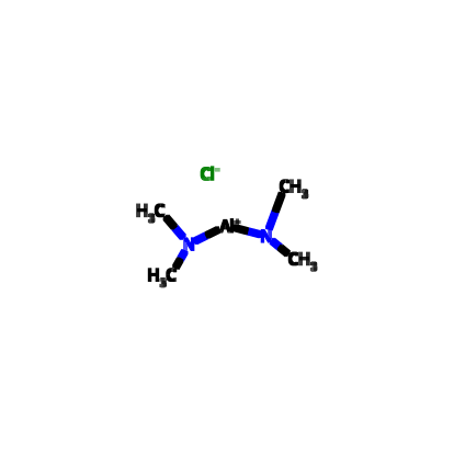 C[N](C)[Al+][N](C)C.[Cl-]